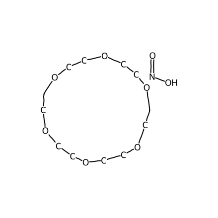 C1COCCOCCOCCOCCOCCO1.O=NO